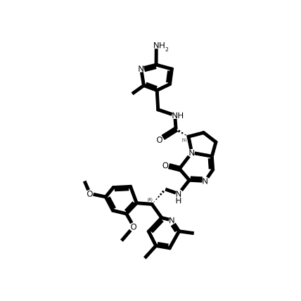 COc1ccc([C@H](CNc2ncc3n(c2=O)[C@H](C(=O)NCc2ccc(N)nc2C)CC3)c2cc(C)cc(C)n2)c(OC)c1